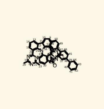 Cc1nc(C)nc(-c2cccc3c4cccc(-c5nc(C)nc(C)n5)c4n(-c4cccc5c4C(=O)N(c4cc(-c6ccccc6)ccc4-c4ccccc4)C5=O)c23)n1